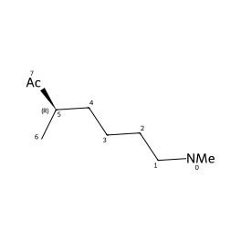 CNCCCC[C@@H](C)C(C)=O